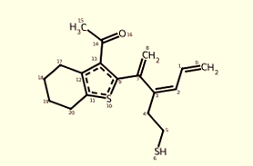 C=C/C=C(/CCS)C(=C)c1sc2c(c1C(C)=O)CCCC2